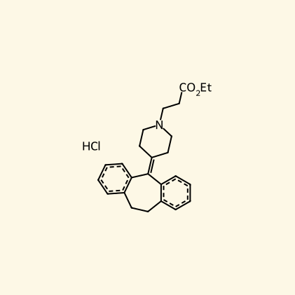 CCOC(=O)CCN1CCC(=C2c3ccccc3CCc3ccccc32)CC1.Cl